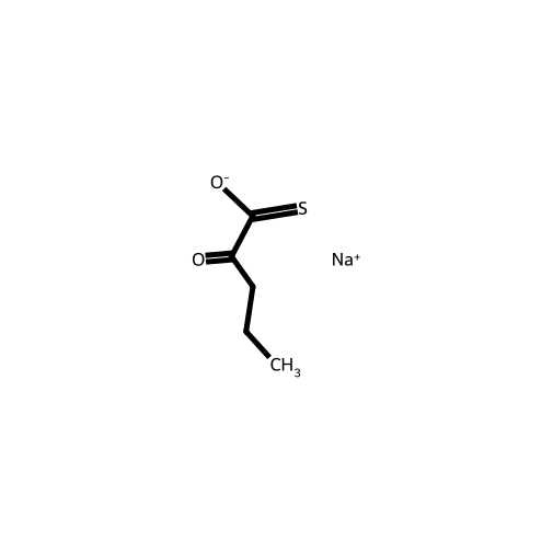 CCCC(=O)C([O-])=S.[Na+]